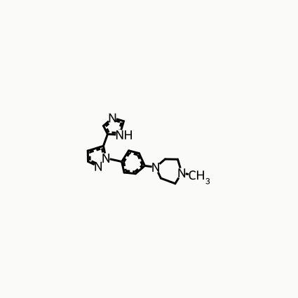 CN1CCN(c2ccc(-n3nccc3-c3cnc[nH]3)cc2)CC1